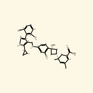 CC1=CC(C)([C@H]2C[C@](O)(c3ccc(OCc4c(-c5c(Cl)cccc5Cl)noc4C4CC4)cc3Cl)C2)CC(C(=O)O)=C1